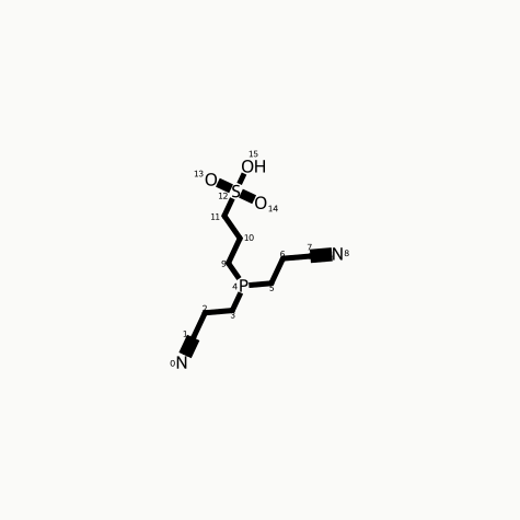 N#CCCP(CCC#N)CCCS(=O)(=O)O